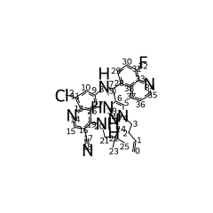 C=CCCN1C=C([C@@H](Nc2cc(Cl)c3ncc(C#N)c(NCC(C)(C)C)c3c2)c2ccc(F)c3ncccc23)NN1